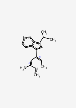 C=N/C(N)=C\C(=C/C)c1cn(C(C)C)c2cnccc12